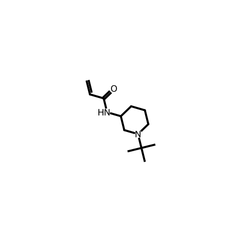 C=CC(=O)NC1CCCN(C(C)(C)C)C1